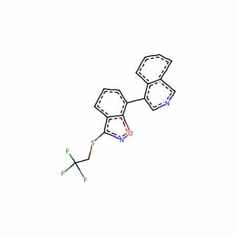 FC(F)(F)CSc1noc2c(-c3cncc4ccccc34)cccc12